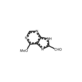 COc1ncnc2[nH]c(C=O)nc12